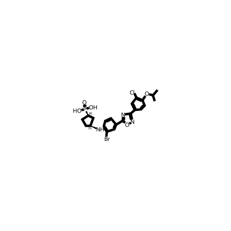 CC(C)Oc1ccc(-c2noc(-c3ccc(N[C@H]4CC[C@@H](P(=O)(O)O)C4)c(Br)c3)n2)cc1Cl